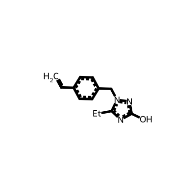 C=Cc1ccc(Cn2nc(O)nc2CC)cc1